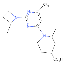 CC1CC(C(=O)O)CCN1c1cc(C(F)(F)F)nc(N2CCC2C)n1